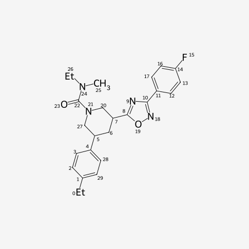 CCc1ccc(C2CC(c3nc(-c4ccc(F)cc4)no3)CN(C(=O)N(C)CC)C2)cc1